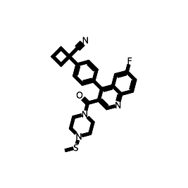 CSN1CCN(C(=O)c2cnc3ccc(F)cc3c2-c2ccc(C3(C#N)CCC3)cc2)CC1